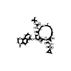 C[C@H]1CC/C=C\[C@@H]2C[C@@]2(C(=O)NS(=O)(=O)C2CC2)NC(=O)[C@@H]2C[C@@H](Oc3nccc4c5c(ccc34)N(C)CCO5)CN2C(=O)[C@@H](NC(=O)OC(C)(C)C)[C@H](C)C1